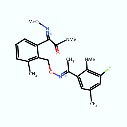 CNC(=O)/C(=N/OC)c1cccc(C)c1CO/N=C(\C)c1cc(C(F)(F)F)cc(F)c1NC